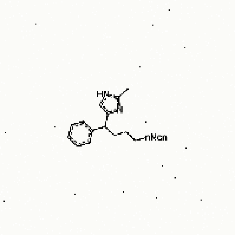 CCCCCCCCCCCCC(c1ccccc1)c1c[nH]c(C)n1